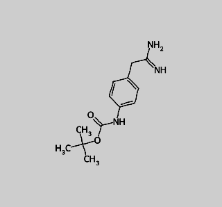 CC(C)(C)OC(=O)Nc1ccc(CC(=N)N)cc1